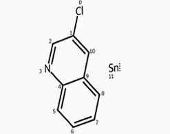 Clc1cnc2ccccc2c1.[Sn]